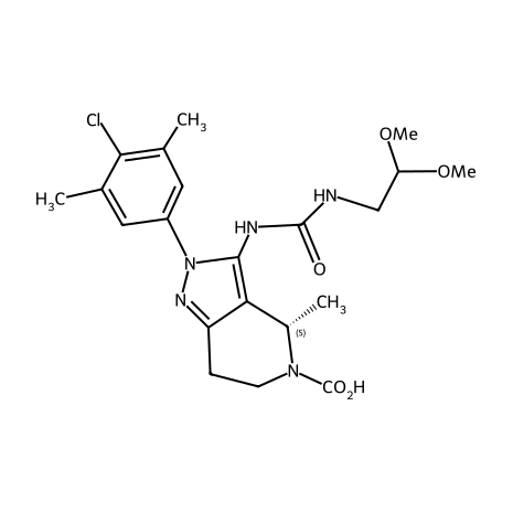 COC(CNC(=O)Nc1c2c(nn1-c1cc(C)c(Cl)c(C)c1)CCN(C(=O)O)[C@H]2C)OC